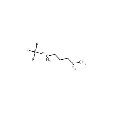 CCCC[NH2+]C.F[B-](F)(F)F